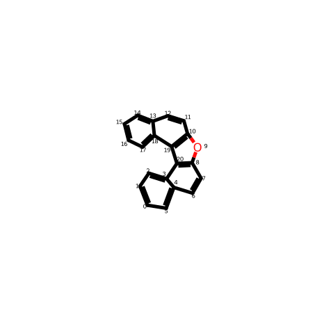 c1ccc2c(c1)ccc1oc3ccc4ccccc4c3c12